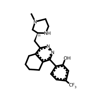 CN1CCN[C@@H](Cc2nnc(-c3ccc(C(F)(F)F)cc3O)c3c2CCCC3)C1